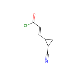 N#CC1CC1C=CC(=O)Cl